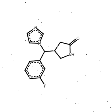 O=C1CC(C(c2cccc(F)c2)n2ccnc2)CN1